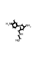 Cc1cc(N2CC(N)CC2CNCCO)ccc1N